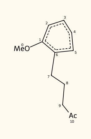 COc1ccccc1CCCC(C)=O